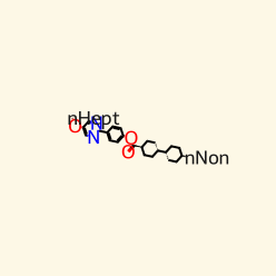 CCCCCCCCC[C@H]1CC[C@H]([C@H]2CC[C@H](C(=O)Oc3ccc(-c4ncc(OCCCCCCC)cn4)cc3)CC2)CC1